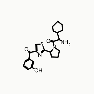 NC(C(=O)N1CCCC1c1nc(C(=O)c2cccc(O)c2)cs1)C1CCCCC1